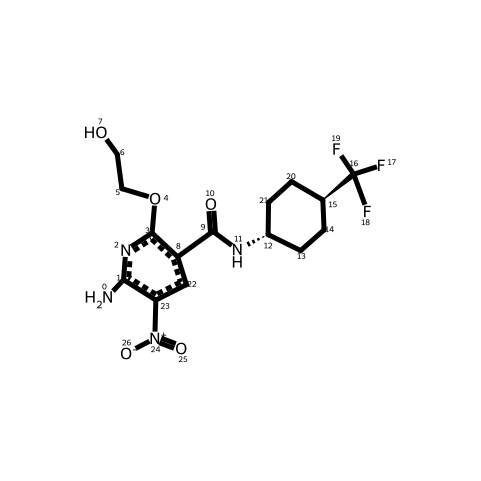 Nc1nc(OCCO)c(C(=O)N[C@H]2CC[C@H](C(F)(F)F)CC2)cc1[N+](=O)[O-]